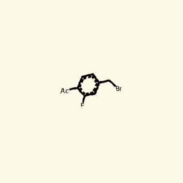 CC(=O)c1ccc(CBr)cc1F